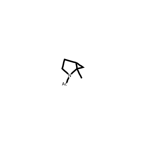 CC(=O)N1CCC2CC21C